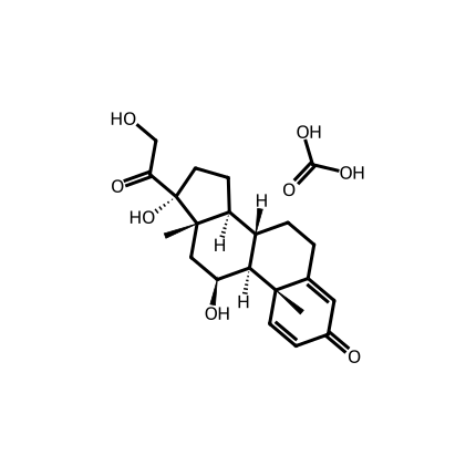 C[C@]12C=CC(=O)C=C1CC[C@@H]1[C@@H]2[C@@H](O)C[C@@]2(C)[C@H]1CC[C@]2(O)C(=O)CO.O=C(O)O